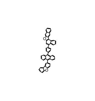 c1ccc2cc3c(cc2c1)oc1cc(-c2ccc(-c4c5ccccc5c(-c5ccc6oc7ccccc7c6c5)c5ccccc45)cc2)c2ccccc2c13